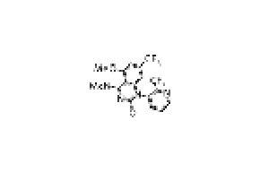 CNc1nc(=O)n(-c2cccnc2C(F)(F)F)c2cc(C(F)(F)F)cc(OC)c12